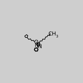 CCCCCCCCCc1cnc(-c2ccccc2)nc1OCCCCCC1CCCC1